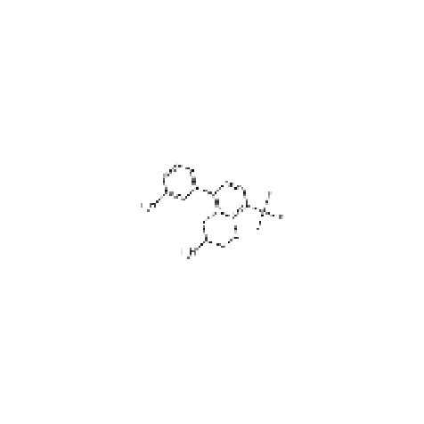 Nc1cccc(-c2ccc(C(F)(F)F)c3c2CC(N)CO3)c1